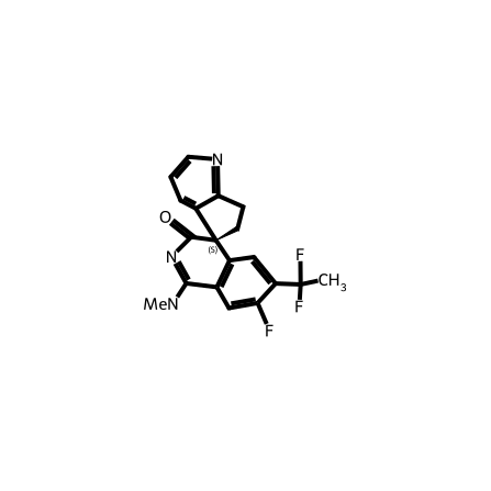 CNC1=NC(=O)[C@@]2(CCc3ncccc32)c2cc(C(C)(F)F)c(F)cc21